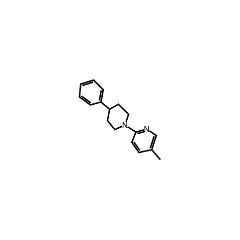 Cc1ccc(N2CCC(c3ccccc3)CC2)nc1